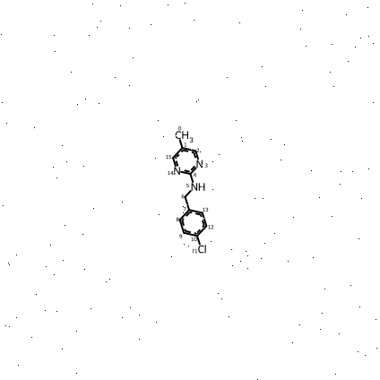 Cc1cnc(NCc2ccc(Cl)cc2)nc1